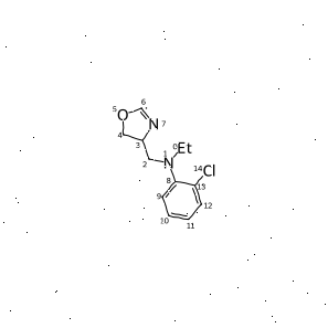 CCN(CC1CO[C]=N1)c1ccccc1Cl